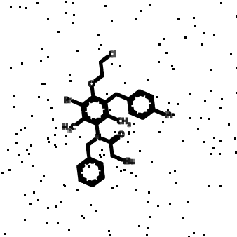 Cc1c(Br)c(OCCCl)c(Cc2ccc(C(C)C)cc2)c(C)c1N(Cc1ccccc1)C(=O)CC(C)(C)C